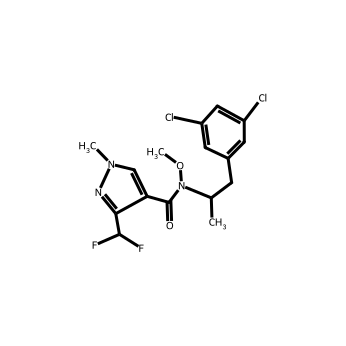 CON(C(=O)c1cn(C)nc1C(F)F)C(C)Cc1cc(Cl)cc(Cl)c1